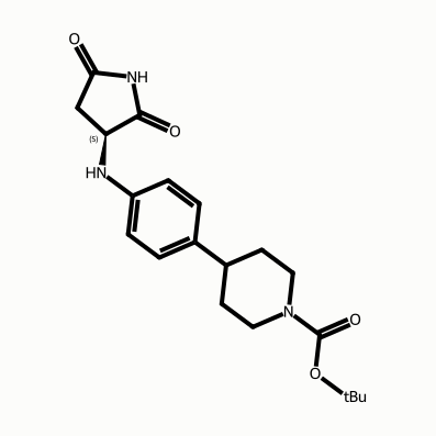 CC(C)(C)OC(=O)N1CCC(c2ccc(N[C@H]3CC(=O)NC3=O)cc2)CC1